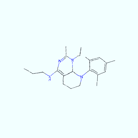 CCCNC1=C2CCCN(c3c(C)cc(C)cc3C)C2N(CC)C(C)=N1